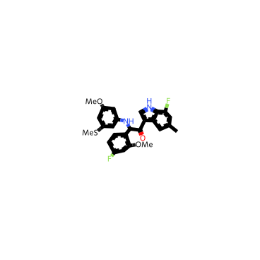 COc1cc(NC(C(=O)c2c[nH]c3c(F)cc(C)cc23)c2ccc(F)cc2OC)cc(SC)c1